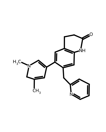 CC1=CC(c2cc3c(cc2Cc2ccccn2)NC(=O)CC3)=CN(C)C1